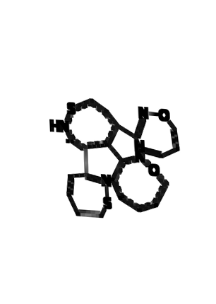 [c]1[nH]sccc(C2=NOC=CC=C2)c(-c2ccccco[nH]2)c1C1=NSC=CC=C1